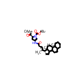 COC(=O)[C@@H]1C[C@H](NC(=O)CC[C@@H](C)[C@H]2CCC3C4CCC5CCCC[C@]5(C)C4CC[C@@]32C)CN1C(=O)OC(C)(C)C